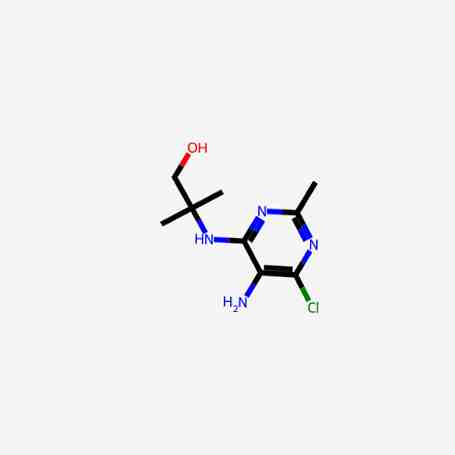 Cc1nc(Cl)c(N)c(NC(C)(C)CO)n1